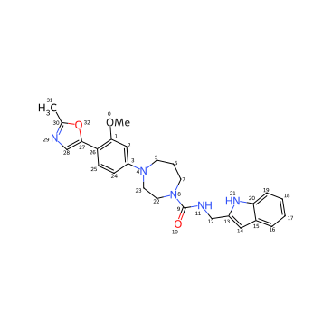 COc1cc(N2CCCN(C(=O)NCc3cc4ccccc4[nH]3)CC2)ccc1-c1cnc(C)o1